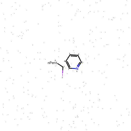 CCCCCCI.c1ccncc1